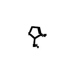 BC1N=CCS1.F